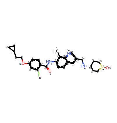 Cc1c(NC(=O)c2ccc(OCCC3CC3)cc2F)ccc2cc(CN[C@H]3CC[S@@+]([O-])CC3)cnc12